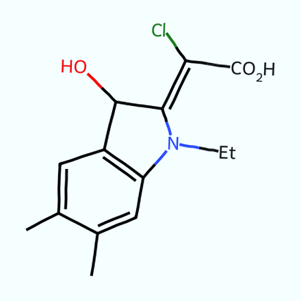 CCN1C(=C(Cl)C(=O)O)C(O)c2cc(C)c(C)cc21